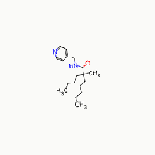 CCCCCC(C)(CCCC)C(=O)NCc1ccncc1